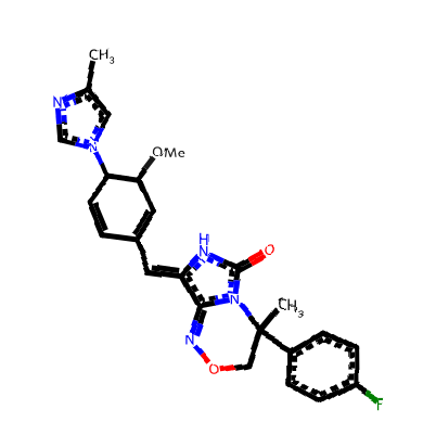 COC1C=C(/C=c2\[nH]c(=O)n3c2=NOCC3(C)c2ccc(F)cc2)C=CC1n1cnc(C)c1